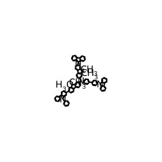 CC1(C)c2cc(-c3ccc4c5ccccc5n(-c5ccccc5)c4c3)ccc2-c2ccc(N(c3ccc(-c4ccc(-n5c6ccccc6c6ccccc65)cc4)cc3)c3ccc4c(c3)C(C)(C)c3cc(-n5c6ccccc6c6ccccc65)ccc3-4)cc21